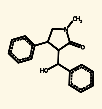 CN1CC(c2ccccc2)C(C(O)c2ccccc2)C1=O